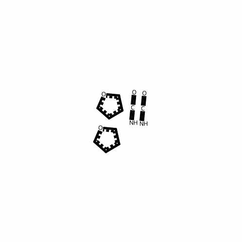 N=C=O.N=C=O.c1ccoc1.c1ccoc1